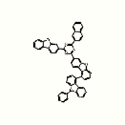 c1ccc(-n2c3ccccc3c3c(-c4cccc5oc6cc(-c7nc(-c8ccc9ccccc9c8)nc(-c8ccc9c(c8)oc8ccccc89)n7)ccc6c45)cccc32)cc1